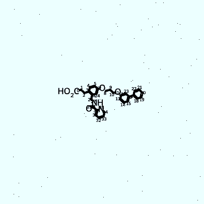 O=C(O)CCc1ccc(OCCCOc2cccc(-c3ccccc3)c2)cc1CNC(=O)c1ccccn1